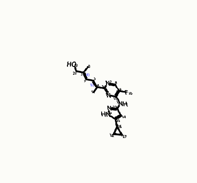 C/C(=C\C=C(/C)c1ncc(F)c(Nc2cc(C3CC3)[nH]n2)n1)CO